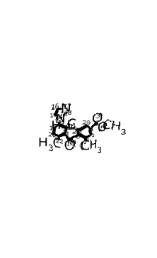 COC(=O)c1cc(C)c(C(=O)c2cc(-n3ccnc3)ccc2C)c(C)c1